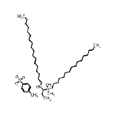 CCCCCCCCCCCCCCCCCCNC(CC)[N+](C)(C)CCCCCCCCCCCCCCCC.Cc1ccc(S(=O)(=O)[O-])cc1